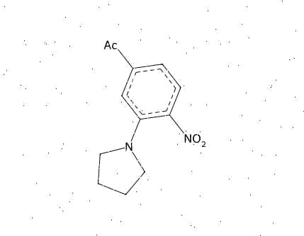 CC(=O)c1ccc([N+](=O)[O-])c(N2CCCC2)c1